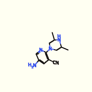 CC1CN(c2ncc(N)cc2C#N)CC(C)N1